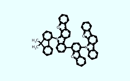 CC1(C)c2ccccc2-c2c(-n3c4cccc(-c5ccc(-n6c7ccccc7c7ccc8c9ccccc9oc8c76)c6c5oc5ccccc56)c4c4ccc5c6ccccc6oc5c43)cccc21